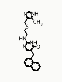 Cc1[nH]cnc1CSCCNc1ncc(Cc2cccc3ccccc23)c(=O)[nH]1